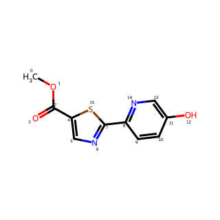 COC(=O)c1cnc(-c2ccc(O)cn2)s1